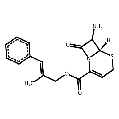 CC(=Cc1ccccc1)COC(=O)C1=CCS[C@H]2C(N)C(=O)N12